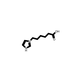 O=C(O)CCCCC[n+]1cc[nH]c1